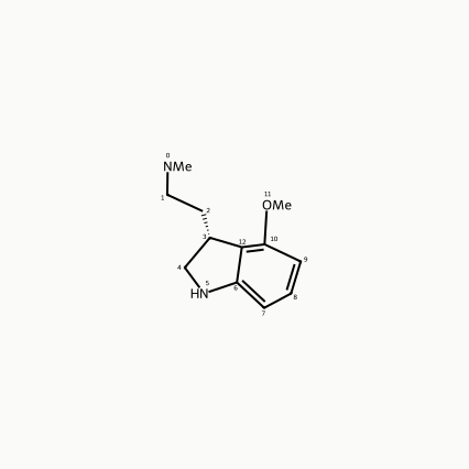 CNCC[C@H]1CNc2cccc(OC)c21